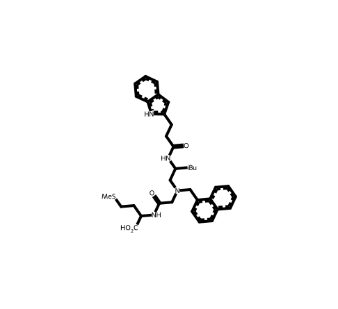 CCC(C)C(CN(CC(=O)NC(CCSC)C(=O)O)Cc1cccc2ccccc12)NC(=O)CCc1cc2ccccc2[nH]1